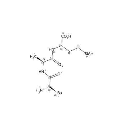 CC[C@H](C)[C@H](N)C(=O)N[C@@H](C)C(=O)N[C@@H](CCSC)C(=O)O